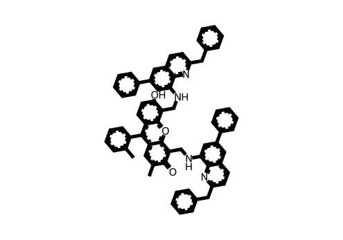 Cc1ccccc1-c1c2cc(C)c(=O)c(CNc3cc(-c4ccccc4)cc4ccc(Cc5ccccc5)nc34)c-2oc2c(CNc3cc(-c4ccccc4)cc4ccc(Cc5ccccc5)nc34)c(O)ccc12